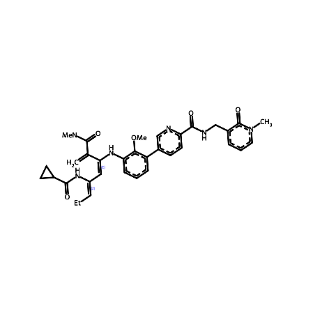 C=C(C(=O)NC)/C(=C\C(=C\CC)NC(=O)C1CC1)Nc1cccc(-c2ccc(C(=O)NCc3cccn(C)c3=O)nc2)c1OC